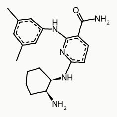 Cc1cc(C)cc(Nc2nc(N[C@@H]3CCCC[C@@H]3N)ccc2C(N)=O)c1